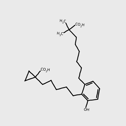 CC(C)(CCCCCCc1cccc(O)c1CCCCCC1(C(=O)O)CC1)C(=O)O